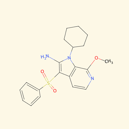 COc1nccc2c(S(=O)(=O)c3ccccc3)c(N)n(C3CCCCC3)c12